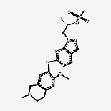 COc1cc2c(cc1Nc1ncc3cnn(C[C@H](C)NS(C)(=O)=O)c3n1)CN(C)CC2